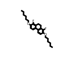 CCCCCCOc1ccc2c(c1F)CCc1c-2ccc(OCCCCCC)c1F